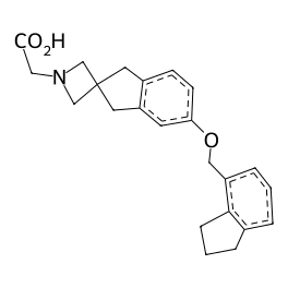 O=C(O)CN1CC2(Cc3ccc(OCc4cccc5c4CCC5)cc3C2)C1